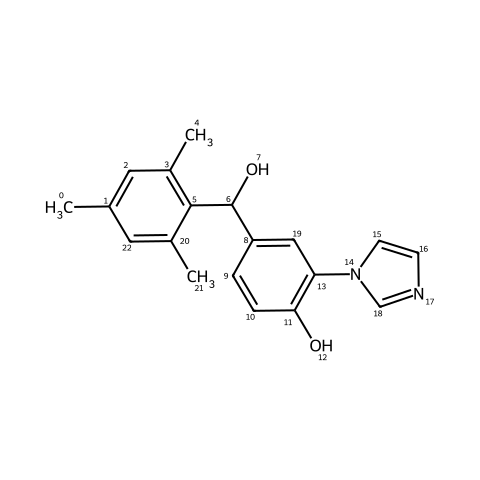 Cc1cc(C)c(C(O)c2ccc(O)c(-n3ccnc3)c2)c(C)c1